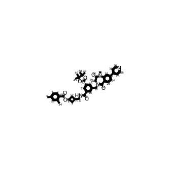 Cc1ccc(C(=O)OC2CC(CNC(=O)c3cc(CN4C(=O)c5ccc(-c6ccncc6)cc5N(C)C(=O)[C@H]4C)cc(B4OC(C)(C)C(C)(C)O4)c3)C2)c(C)c1